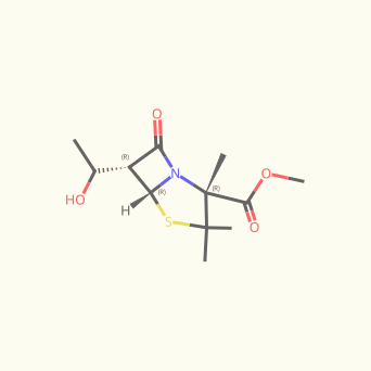 COC(=O)[C@@]1(C)N2C(=O)[C@@H](C(C)O)[C@H]2SC1(C)C